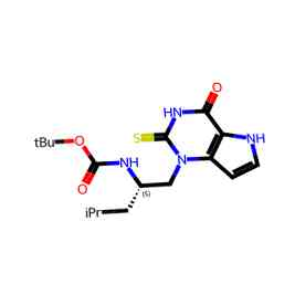 CC(C)C[C@@H](Cn1c(=S)[nH]c(=O)c2[nH]ccc21)NC(=O)OC(C)(C)C